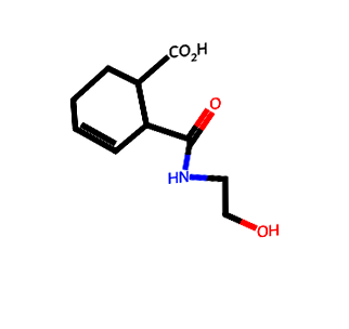 O=C(NCCO)C1C=CCCC1C(=O)O